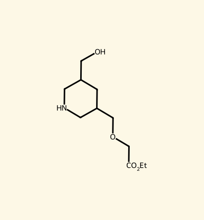 CCOC(=O)COCC1CNCC(CO)C1